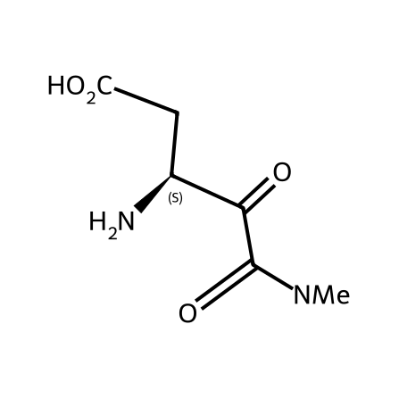 CNC(=O)C(=O)[C@@H](N)CC(=O)O